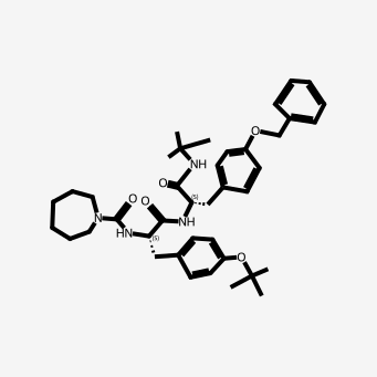 CC(C)(C)NC(=O)[C@H](Cc1ccc(OCc2ccccc2)cc1)NC(=O)[C@H](Cc1ccc(OC(C)(C)C)cc1)NC(=O)N1CCCCCC1